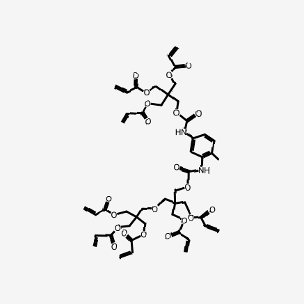 C=CC(=O)OCC(COCC(COC(=O)C=C)(COC(=O)C=C)COC(=O)Nc1cc(NC(=O)OCC(COC(=O)C=C)(COC(=O)C=C)COC(=O)C=C)ccc1C)(COC(=O)C=C)COC(=O)C=C